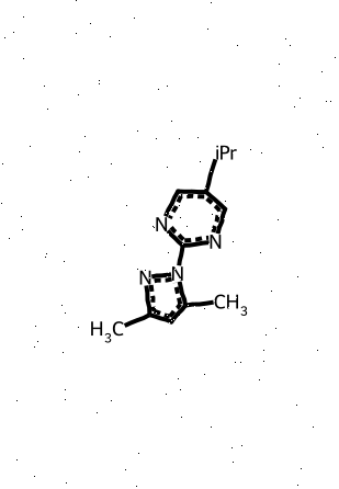 Cc1cc(C)n(-c2ncc(C(C)C)cn2)n1